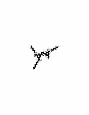 C=CCCCCCOC(=O)c1cc(C(=O)OCCCCC=C)cc(-c2ccc(-c3cc(C=O)cc(C(=O)OCCCCC=C)c3)s2)c1